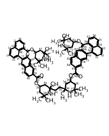 CC1(C)CC(OC(=O)c2cccc3cccc(-c4ccc5cc(C(=O)OC6CC(C)(C)NC(C)(CCC7(C)CC(OC(=O)c8ccc9ccc(-c%10cccc%11cccc(C(=O)OC%12CC(C)(C)NC(C)(C)C%12)c%10%11)cc9c8)CC(C)(C)N7)C6)ccc5c4)c23)CC(C)(C)N1